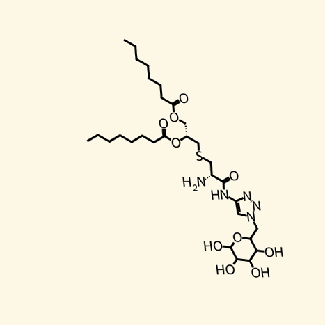 CCCCCCCC(=O)OC[C@H](CSC[C@@H](N)C(=O)Nc1cn(CC2OC(O)C(O)C(O)C2O)nn1)OC(=O)CCCCCCC